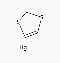 C1=CSCS1.[Hg]